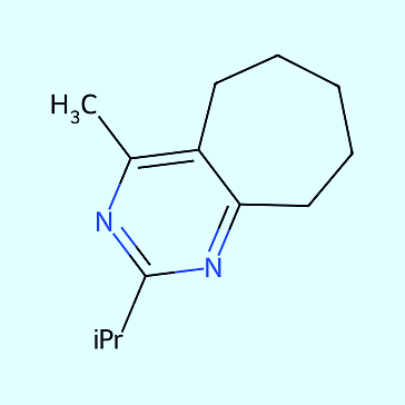 Cc1nc(C(C)C)nc2c1CCCCC2